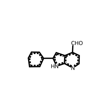 O=Cc1ccnc2[nH]c(-c3ccccc3)cc12